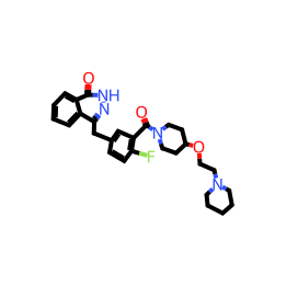 O=C(c1cc(Cc2n[nH]c(=O)c3ccccc23)ccc1F)N1CCC(OCCN2CCCCC2)CC1